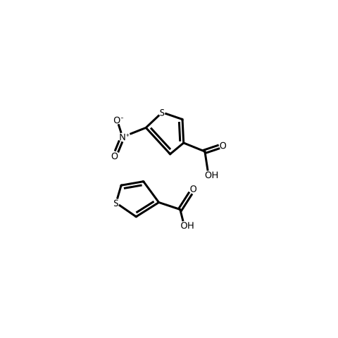 O=C(O)c1ccsc1.O=C(O)c1csc([N+](=O)[O-])c1